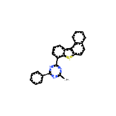 Cc1nc(-c2ccccc2)nc(-c2cccc3c2sc2ccc4ccccc4c23)n1